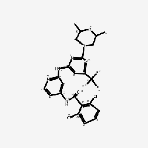 CC1CN(c2nc(Nc3cc(NC(=O)c4c(Cl)cccc4Cl)ccn3)cc(C(F)(F)F)n2)CC(C)O1